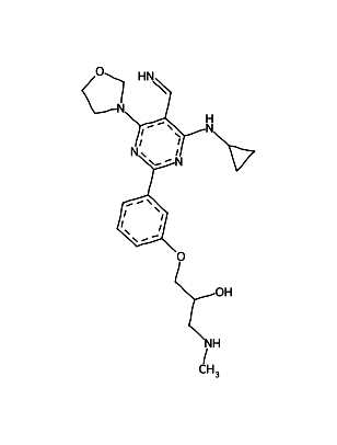 CNCC(O)COc1cccc(-c2nc(NC3CC3)c(C=N)c(N3CCOC3)n2)c1